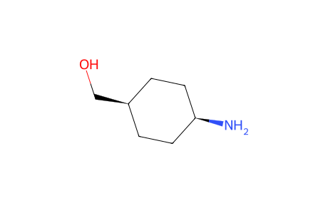 N[C@H]1CC[C@@H](CO)CC1